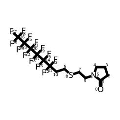 O=C1CCCN1CCSCCC(F)(F)C(F)(F)C(F)(F)C(F)(F)C(F)(F)C(F)(F)F